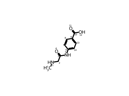 CNCC(=O)Nc1ccc(C(=O)O)cc1